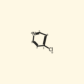 Clc1c[c]n[c]c1